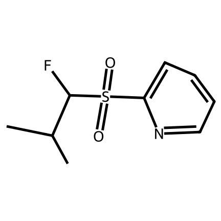 CC(C)C(F)S(=O)(=O)c1ccccn1